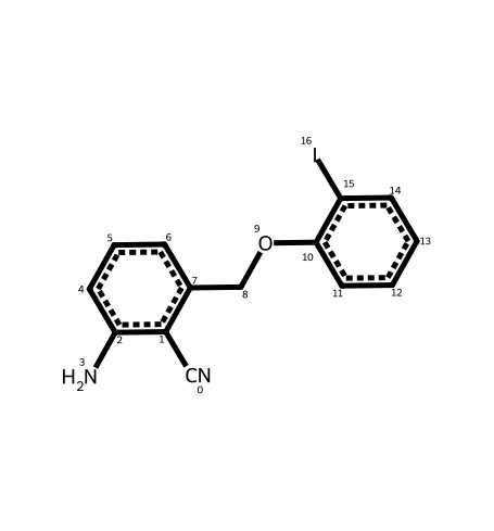 N#Cc1c(N)cccc1COc1ccccc1I